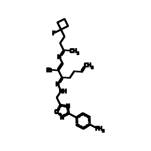 C=CCCC(=N\NCc1nc(-c2ccc(P)cc2)no1)/C(=C/N=C(\C)CCC1(F)CCC1)CC